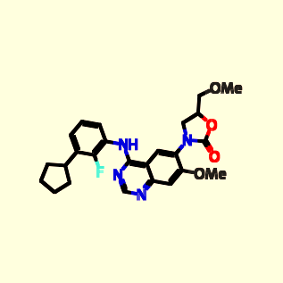 COCC1CN(c2cc3c(Nc4cccc(C5CCCC5)c4F)ncnc3cc2OC)C(=O)O1